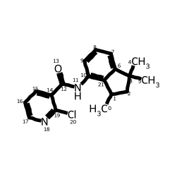 CC1CC(C)(C)c2cccc(NC(=O)c3cccnc3Cl)c21